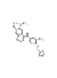 COc1cc2ncnc(Nc3ccc(OCc4nccs4)c(C)c3)c2cc1OC